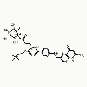 C[N+](C)(C)CCOC(=O)[C@H](CCC(=O)O[C@]1(O)[C@H](O)[C@H](O)[C@@H](O)[C@H](O)[C@H]1O)NC(=O)c1ccc(NCc2cnc3[nH]c(N)nc(=O)c3n2)cc1